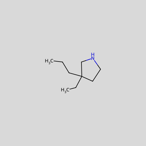 CCCC1(CC)CCNC1